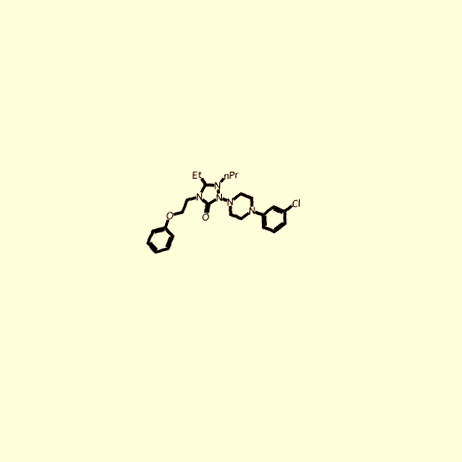 CCCN1C(CC)N(CCOc2ccccc2)C(=O)N1N1CCN(c2cccc(Cl)c2)CC1